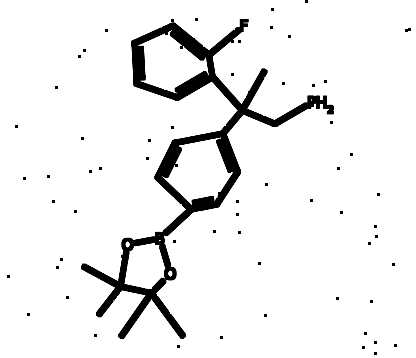 CC(CP)(c1ccc(B2OC(C)(C)C(C)(C)O2)cc1)c1ccccc1F